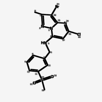 Cc1nn2c(NCc3cccc(S(C)(=O)=O)c3)cc(Cl)nc2c1Br